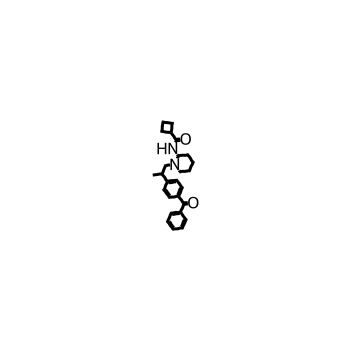 CC(CN1CCCCC1NC(=O)C1CCC1)c1ccc(C(=O)c2ccccc2)cc1